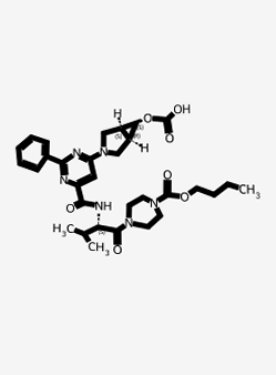 CCCCOC(=O)N1CCN(C(=O)[C@@H](NC(=O)c2cc(N3C[C@@H]4[C@H](C3)[C@H]4OC(=O)O)nc(-c3ccccc3)n2)C(C)C)CC1